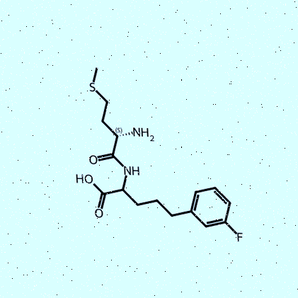 CSCC[C@H](N)C(=O)NC(CCCc1cccc(F)c1)C(=O)O